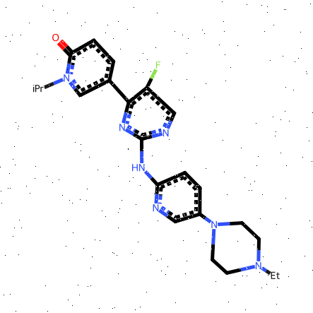 CCN1CCN(c2ccc(Nc3ncc(F)c(-c4ccc(=O)n(C(C)C)c4)n3)nc2)CC1